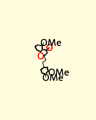 COc1ccc(CCc2cc(=O)c3c(OC)cccc3o2)cc1OC